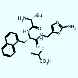 CCC(C)[C@@H](N)C(=O)N[C@@H](Cc1cccc2ccccc12)C(=O)NCc1cnc(N)s1.O=C(O)C(F)F